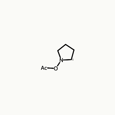 CC(=O)ON1[C]CCC1